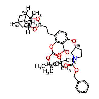 CC(C)(C)OC(=O)Oc1c(CCB2O[C@@H]3C[C@@H]4C[C@@H](C4(C)C)[C@]3(C)O2)ccc(O[C@@H]2CCN(C(=O)OCc3ccccc3)C2)c1C(=O)OC(C)(C)C